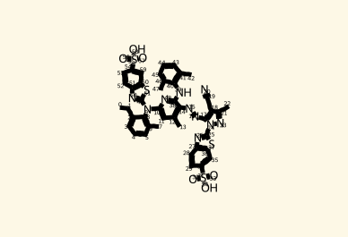 CCc1cccc(C)c1N(c1cc(C)c(N=Nc2c(C#N)c(C)nn2-c2nc3ccc(S(=O)(=O)O)cc3s2)c(Nc2c(C)cccc2C)n1)c1nc2ccc(S(=O)(=O)O)cc2s1